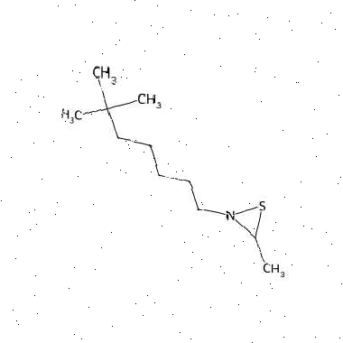 CC1SN1CCCCCC(C)(C)C